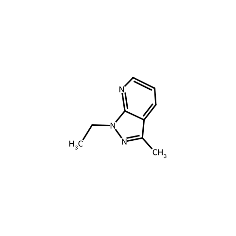 CCn1nc(C)c2cccnc21